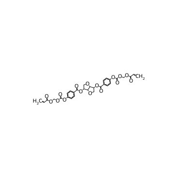 C=CC(=O)OCOC(=O)Oc1ccc(C(=O)OC2COC3C(OC(=O)c4ccc(OC(=O)OCOC(=O)C=C)cc4)COC23)cc1